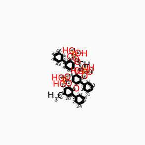 COc1c(Oc2ccc(Oc3c(OP(=O)(O)O)cc(C)cc3-c3ccccc3)c(-c3ccccc3)c2OP(=O)(O)O)ccc(-c2ccccc2)c1OP(=O)(O)O